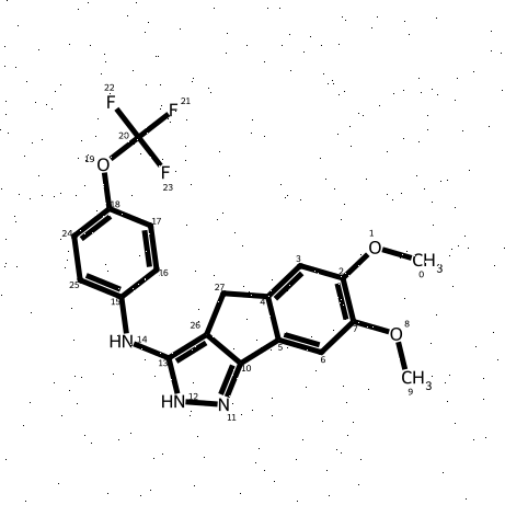 COc1cc2c(cc1OC)-c1n[nH]c(Nc3ccc(OC(F)(F)F)cc3)c1C2